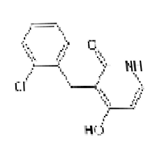 O=c1[nH]ccc(O)c1Cc1ccccc1Cl